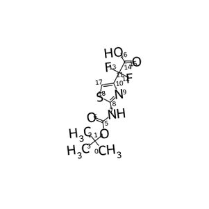 CC(C)(C)OC(=O)Nc1nc(C(F)(F)C(=O)O)cs1